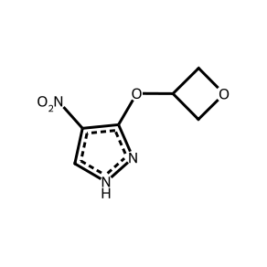 O=[N+]([O-])c1c[nH]nc1OC1COC1